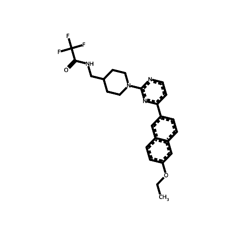 CCOc1ccc2cc(-c3ccnc(N4CCC(CNC(=O)C(F)(F)F)CC4)n3)ccc2c1